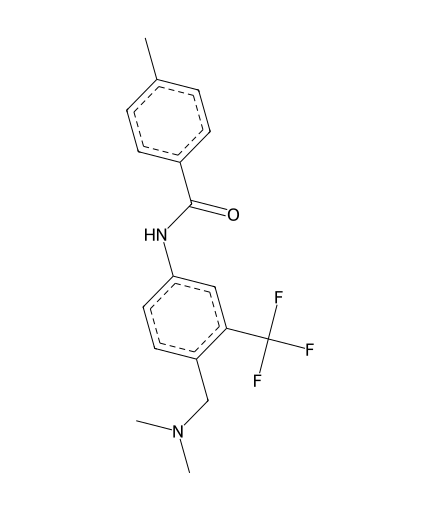 Cc1ccc(C(=O)Nc2ccc(CN(C)C)c(C(F)(F)F)c2)cc1